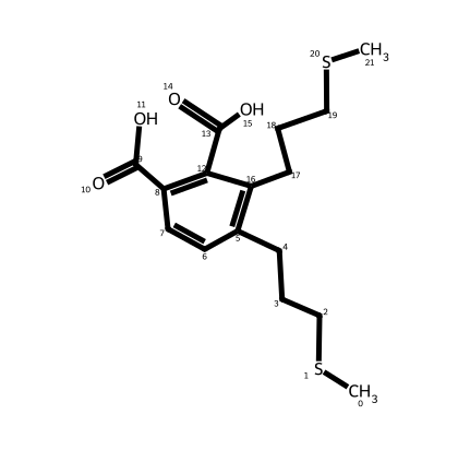 CSCCCc1ccc(C(=O)O)c(C(=O)O)c1CCCSC